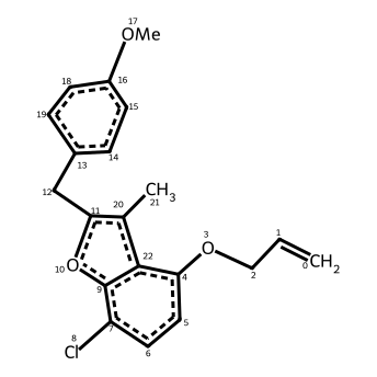 C=CCOc1ccc(Cl)c2oc(Cc3ccc(OC)cc3)c(C)c12